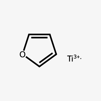 [Ti+3].c1ccoc1